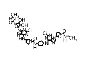 CCNC(=O)[C@@H]1CC[C@H](n2cnc3c(N[C@H]4CC[C@H](NC(=O)N5CC[C@@H](Nc6nc(Cl)nc7c6ncn7[C@@H]6O[C@H](C(=O)NCC)[C@@H](O)[C@H]6O)C5)CC4)nc(Cl)nc32)O1